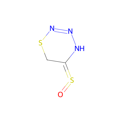 O=S=C1CSN=NN1